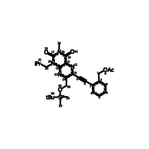 CC(=O)OCc1ccccc1C#Cc1nc2c(=O)n(C)c(=O)n(CC(C)C)c2nc1CO[Si](C)(C)C(C)(C)C